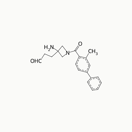 Cc1cc(-c2ccccc2)ccc1C(=O)N1CC(N)(CCC=O)C1